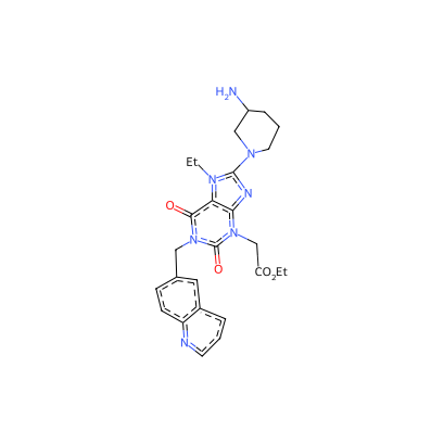 CCOC(=O)Cn1c(=O)n(Cc2ccc3ncccc3c2)c(=O)c2c1nc(N1CCCC(N)C1)n2CC